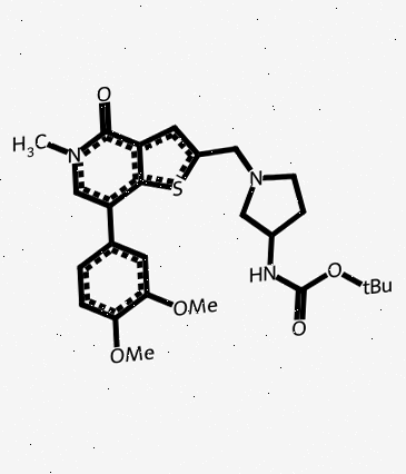 COc1ccc(-c2cn(C)c(=O)c3cc(CN4CCC(NC(=O)OC(C)(C)C)C4)sc23)cc1OC